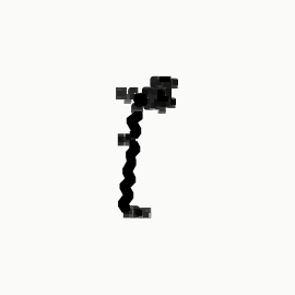 CCCCCCCCCCCCCCCCCCNCCCOC(C)(C)O[Si](Cl)(OC)OC